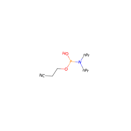 CCCN(CCC)P(O)OCCC#N